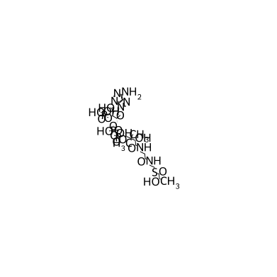 CC(O)C(=O)SCCNC(=O)CCNC(=O)C(O)C(C)(C)COP(=O)(O)OP(=O)(O)OC[C@H]1O[C@@H](n2cnc3c(N)ncnc32)[C@H](O)[C@@H]1OP(=O)(O)O